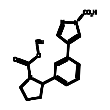 CC(C)(C)OC(=O)N1CCCC1c1cccc(-c2cnn(C(=O)O)c2)c1